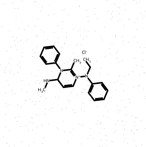 CCN(c1ccccc1)[N+]1=C(C)N(c2ccccc2)C(NC)C=C1.[Cl-]